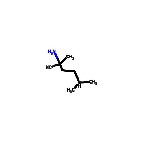 C[SiH](C)CCC(C)(N)C#N